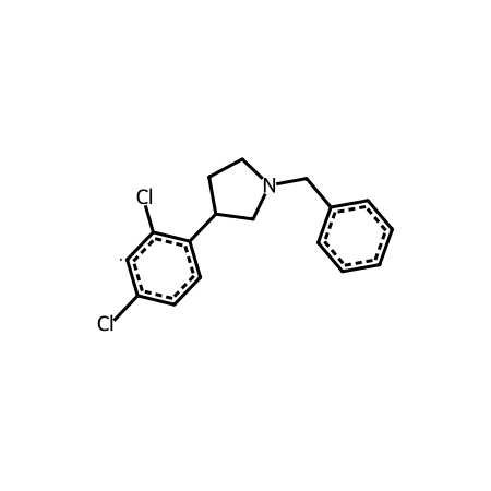 Clc1[c]c(Cl)c(C2CCN(Cc3ccccc3)C2)cc1